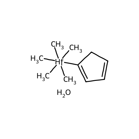 O.[CH3][Hf]([CH3])([CH3])([CH3])([CH3])[C]1=CC=CC1